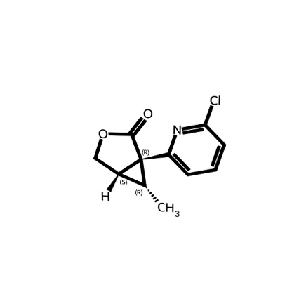 C[C@@H]1[C@@H]2COC(=O)[C@]12c1cccc(Cl)n1